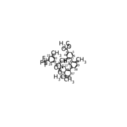 COC(=O)c1ccc(-c2cc(C3=C(CN4C(=O)O[C@H](c5cc(C)cc(C(F)(F)F)c5)[C@@H]4C)CC(C)(C)CC3)ccc2C)c(F)c1